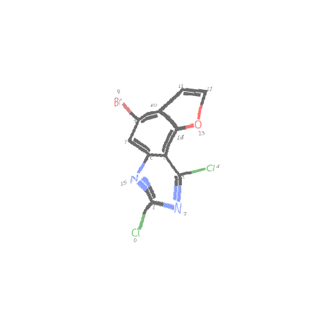 Clc1nc(Cl)c2c(cc(Br)c3ccoc32)n1